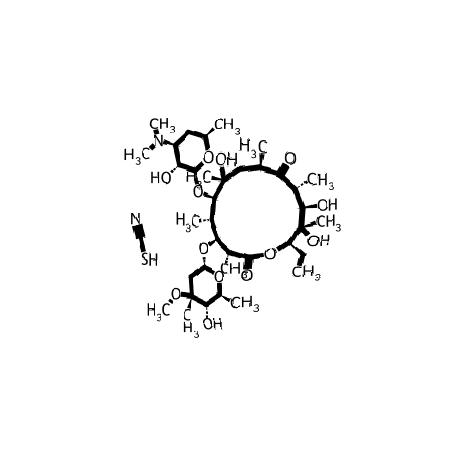 CC[C@H]1OC(=O)[C@H](C)[C@@H](O[C@H]2C[C@@](C)(OC)[C@@H](O)[C@H](C)O2)[C@H](C)[C@@H](O[C@@H]2O[C@H](C)C[C@H](N(C)C)[C@H]2O)[C@](C)(O)C[C@@H](C)C(=O)[C@H](C)[C@@H](O)[C@]1(C)O.N#CS